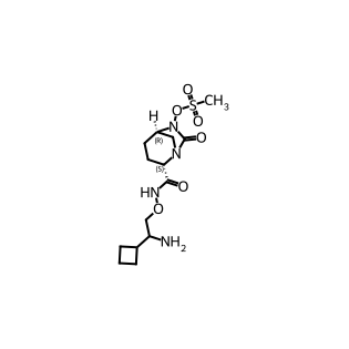 CS(=O)(=O)ON1C(=O)N2C[C@H]1CC[C@H]2C(=O)NOCC(N)C1CCC1